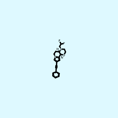 FC(F)CN1CCO[C@H]2c3cc(C#Cc4ccccc4)cn3CC[C@H]21